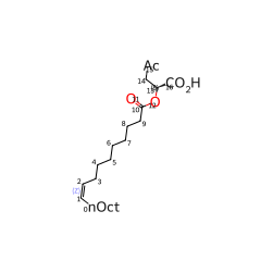 CCCCCCCC/C=C\CCCCCCCC(=O)O[C@@H](CC(C)=O)C(=O)O